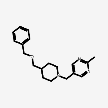 Cc1n[c]c(CN2CCC(COCc3ccccc3)CC2)cn1